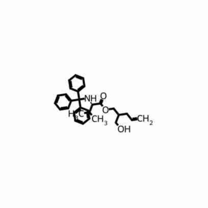 C=CCC(CO)COC(=O)[C@@H](NC(c1ccccc1)(c1ccccc1)c1ccccc1)C(C)C